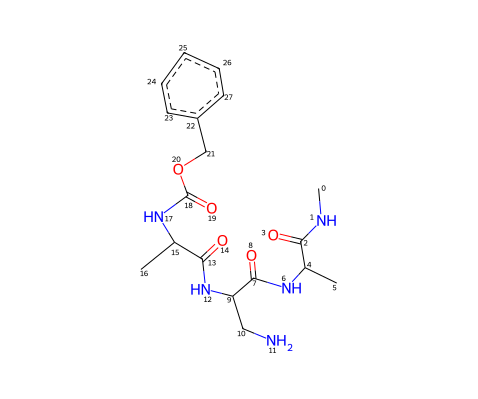 CNC(=O)C(C)NC(=O)C(CN)NC(=O)C(C)NC(=O)OCc1ccccc1